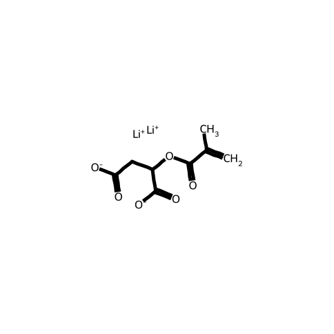 C=C(C)C(=O)OC(CC(=O)[O-])C(=O)[O-].[Li+].[Li+]